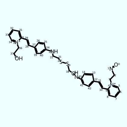 O=NCC[n+]1ccccc1/C=C/c1ccc(NCCSSCCNc2ccc(/C=C/c3cccc[n+]3CCO)cc2)cc1